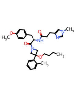 CCCCOC1(c2ccccc2C)CN(C(=O)[C@@H](Cc2ccc(OC)cc2)NC(=O)CCc2cn(C)cn2)C1